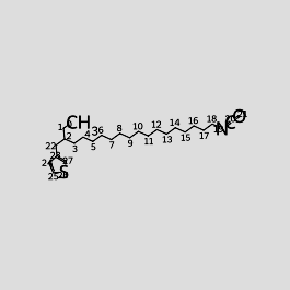 CCC(CCCCCCCCCCCCCCCCN=C=O)Cc1ccsc1